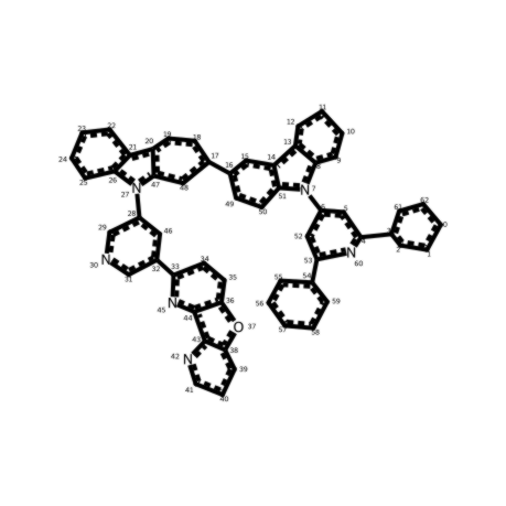 c1ccc(-c2cc(-n3c4ccccc4c4cc(-c5ccc6c7ccccc7n(-c7cncc(-c8ccc9oc%10cccnc%10c9n8)c7)c6c5)ccc43)cc(-c3ccccc3)n2)cc1